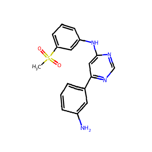 CS(=O)(=O)c1cccc(Nc2cc(-c3cccc(N)c3)ncn2)c1